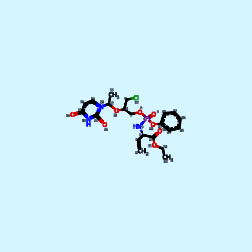 C=C[C@H](N[P@](=O)(OC[C@H](CCl)O[C@H](C)n1ccc(=O)[nH]c1=O)Oc1ccccc1)C(=O)OCC